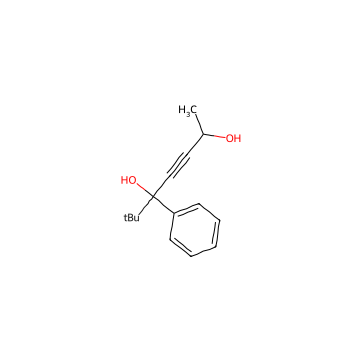 CC(O)C#CC(O)(c1ccccc1)C(C)(C)C